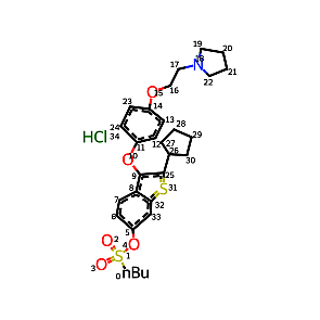 CCCCS(=O)(=O)Oc1ccc2c(Oc3ccc(OCCN4CCCC4)cc3)c(C3CCCC3)sc2c1.Cl